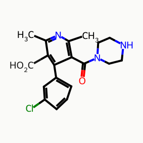 Cc1nc(C)c(C(=O)N2CCNCC2)c(-c2cccc(Cl)c2)c1C(=O)O